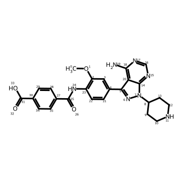 COc1cc(-c2nn(C3CCNCC3)c3ncnc(N)c23)ccc1NC(=O)c1ccc(C(=O)O)cc1